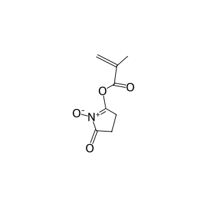 C=C(C)C(=O)OC1=[N+]([O-])C(=O)CC1